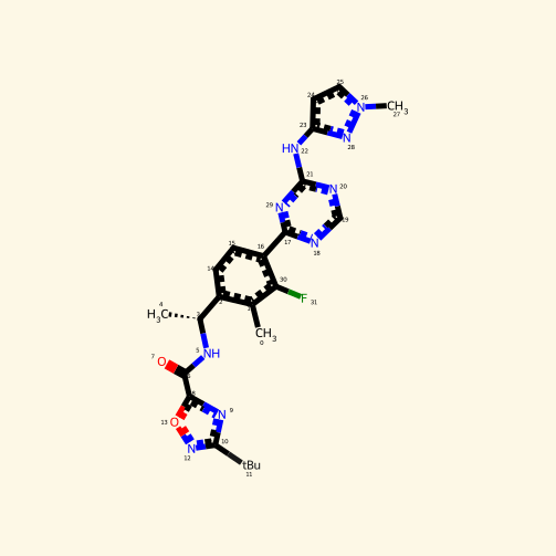 Cc1c([C@@H](C)NC(=O)c2nc(C(C)(C)C)no2)ccc(-c2ncnc(Nc3ccn(C)n3)n2)c1F